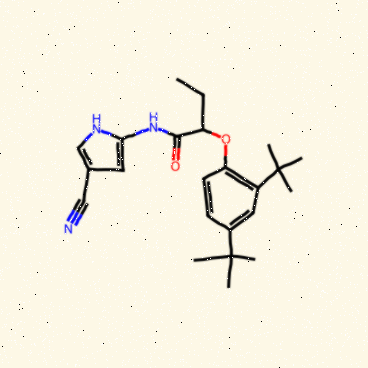 CCC(Oc1ccc(C(C)(C)C)cc1C(C)(C)C)C(=O)Nc1cc(C#N)c[nH]1